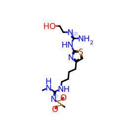 CN/C(=N/S(C)(=O)=O)NCCCCc1csc(N/C(N)=N\CCO)n1